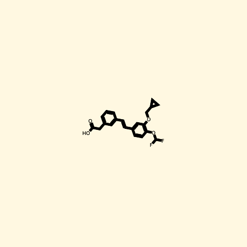 O=C(O)Cc1cccc(C=Cc2ccc(OC(F)F)c(OCC3CC3)c2)c1